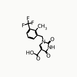 Cc1c(Cn2cc(C(=O)O)c(=O)[nH]c2=O)cccc1C(F)(F)F